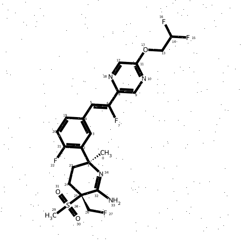 C[C@@]1(c2cc(/C=C(\F)c3cnc(OCC(F)F)cn3)ccc2F)CC[C@@](CF)(S(C)(=O)=O)C(N)=N1